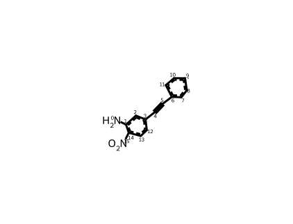 Nc1cc(C#Cc2cc[c]cc2)ccc1[N+](=O)[O-]